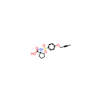 CC#CCOc1ccc(S(=O)(=O)NC2(C(=O)O)CCCC2)cc1